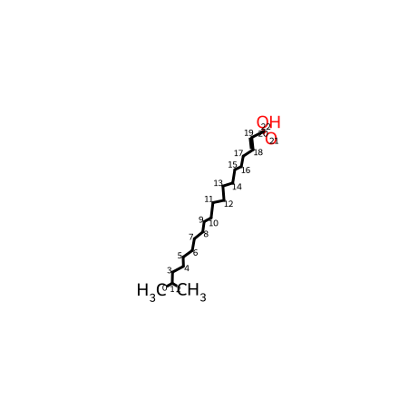 CC(C)CCCCCCCCCCCCCCCC=CC(=O)O